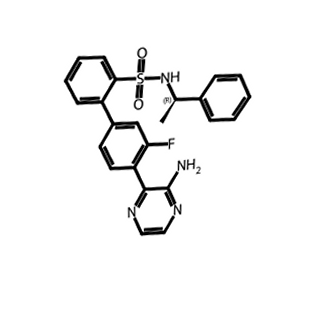 C[C@@H](NS(=O)(=O)c1ccccc1-c1ccc(-c2nccnc2N)c(F)c1)c1ccccc1